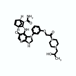 CC(O)CN1CCN(C(=O)COc2cccc(N3CNc4ncc(Cl)c(N[C@H]5[C@@H](C(N)=O)[C@@H]6C=C[C@H]5C6)c43)c2)CC1